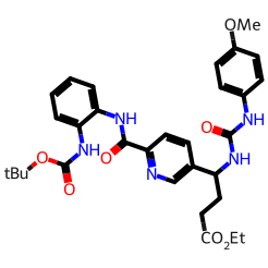 CCOC(=O)CCC(NC(=O)Nc1ccc(OC)cc1)c1ccc(C(=O)Nc2ccccc2NC(=O)OC(C)(C)C)nc1